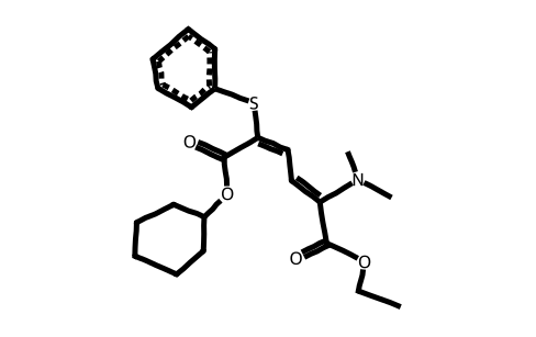 CCOC(=O)C(=CC=C(Sc1ccccc1)C(=O)OC1CCCCC1)N(C)C